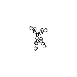 c1ccc(-c2ccc(-c3ccc(N(c4ccc5c(c4)oc4ccccc45)c4ccc5c(c4)oc4ccccc45)cc3)c(-n3c4ccccc4c4cc5ccccc5cc43)c2)cc1